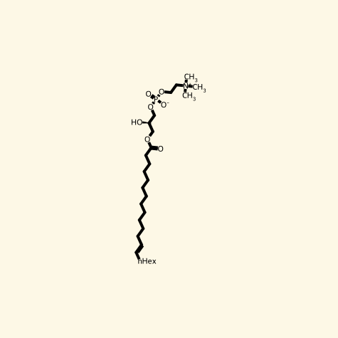 CCCCCC/C=C/CCCCCCCCCCCC(=O)OC[C@@H](O)COP(=O)([O-])OCC[N+](C)(C)C